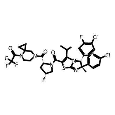 CC(C)C1=C(C(=O)N2C[C@H](F)C[C@@H]2C(=O)N2CCN(C(=O)C(F)(F)F)C3(CC3)C2)SC2=N[C@@](C)(c3ccc(Cl)nc3)[C@@H](c3ccc(Cl)c(F)c3)N21